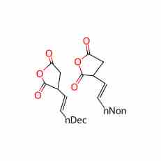 CCCCCCCCC/C=C/C1CC(=O)OC1=O.CCCCCCCCCC/C=C/C1CC(=O)OC1=O